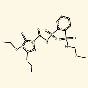 CCOn1c(SCC)nn(C(=O)NS(=O)(=O)c2ccccc2S(=O)(=O)NCOC)c1=O